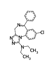 CCN(CC)c1nnc2n1-c1ccc(Cl)cc1C(c1ccccc1)=NC2